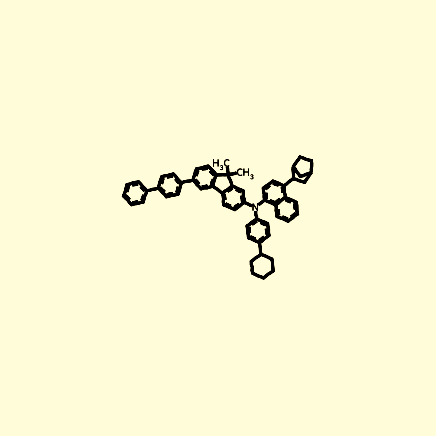 CC1(C)c2ccc(-c3ccc(-c4ccccc4)cc3)cc2-c2ccc(N(c3ccc(C4CCCCC4)cc3)c3ccc(C4CC5CCC4C5)c4ccccc34)cc21